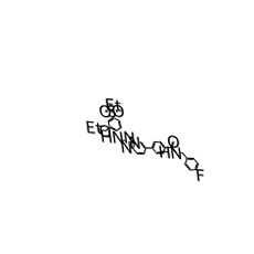 CCOc1cc(S(=O)(=O)CC)ccc1Nc1nc2ccc(-c3ccc(C(=O)NCc4ccc(F)cc4)cc3)cn2n1